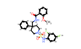 COc1ccccc1C(=O)NCC1(c2ccccc2)CCN(S(=O)(=O)Nc2ccc(F)cc2F)CC1